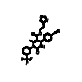 CC1=C(C(=O)OCCn2cncn2)C(c2ccc(C#N)cc2)NC(=O)N1c1cccc(C(F)(F)F)c1